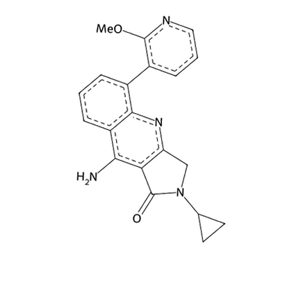 COc1ncccc1-c1cccc2c(N)c3c(nc12)CN(C1CC1)C3=O